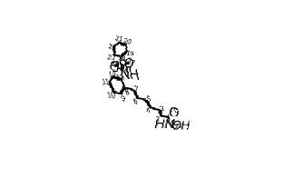 O=C(C=CC=CC=Cc1ccccc1NS(=O)(=O)c1ccccc1)NO